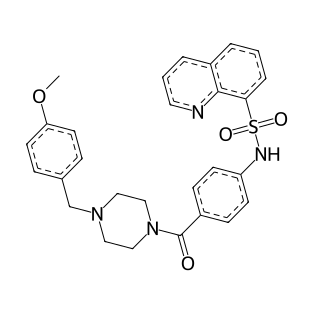 COc1ccc(CN2CCN(C(=O)c3ccc(NS(=O)(=O)c4cccc5cccnc45)cc3)CC2)cc1